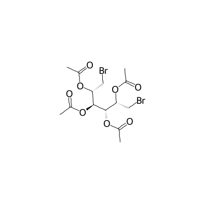 CC(=O)O[C@H]([C@@H](OC(C)=O)[C@@H](CBr)OC(C)=O)[C@@H](CBr)OC(C)=O